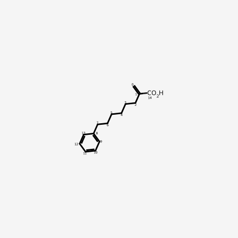 C=C(CCCCCCc1ccccc1)C(=O)O